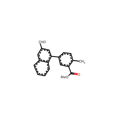 COC(=O)c1cc(-c2cc(C=O)cc3ccccc23)ccc1C